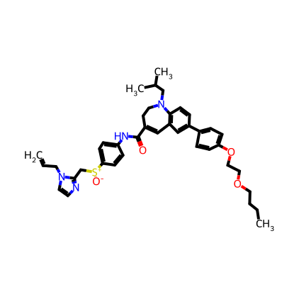 C=CCn1ccnc1C[S+]([O-])c1ccc(NC(=O)C2=Cc3cc(-c4ccc(OCCOCCCC)cc4)ccc3N(CC(C)C)CC2)cc1